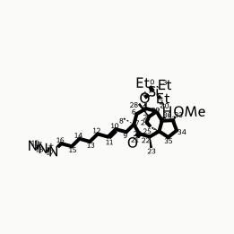 CC[Si](CC)(CC)O[C@@H]1C[C@](C)(C/C=C/CCCCCN=[N+]=[N-])C(=O)[C@H](C)[C@@]23CC[C@@H](C)[C@]1(C)[C@@H]2[C@H](OC)CC3